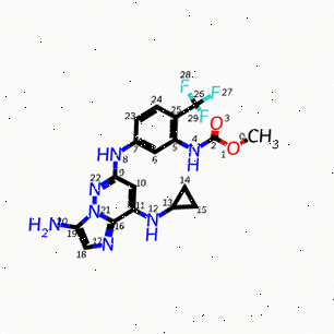 COC(=O)Nc1cc(Nc2cc(NC3CC3)c3ncc(N)n3n2)ccc1C(F)(F)F